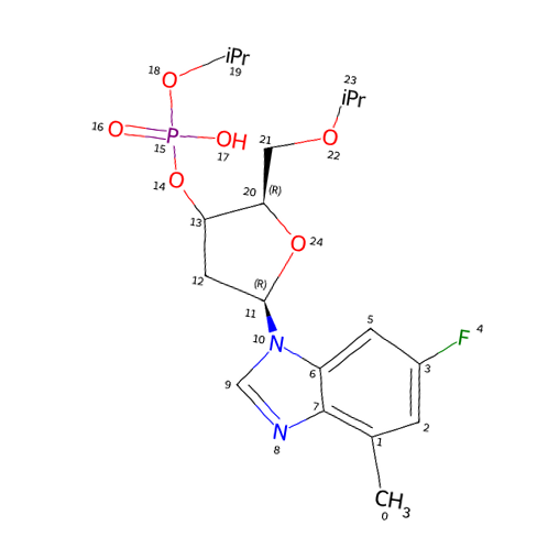 Cc1cc(F)cc2c1ncn2[C@H]1CC(OP(=O)(O)OC(C)C)[C@@H](COC(C)C)O1